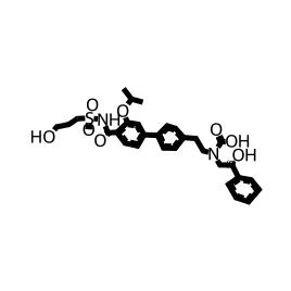 CC(C)Oc1cc(-c2ccc(CCN(C[C@@H](O)c3ccccc3)C(=O)O)cc2)ccc1C(=O)NS(=O)(=O)CCCO